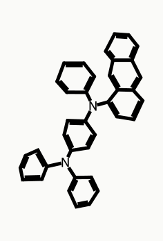 c1ccc(N(c2ccccc2)c2ccc(N(c3ccccc3)c3cccc4cc5ccccc5cc34)cc2)cc1